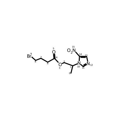 CC(COC(=O)CCCBr)n1cncc1[N+](=O)[O-]